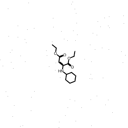 CCOC(=O)C=C(NC1CCCCC1)C(=O)OCC